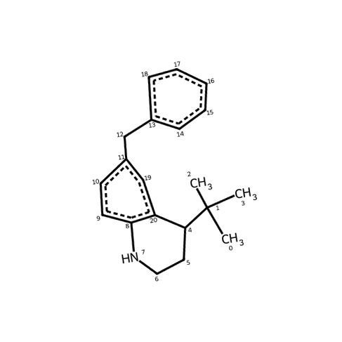 CC(C)(C)C1CCNc2ccc(Cc3ccccc3)cc21